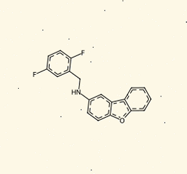 Fc1ccc(F)c(CNc2ccc3oc4ccccc4c3c2)c1